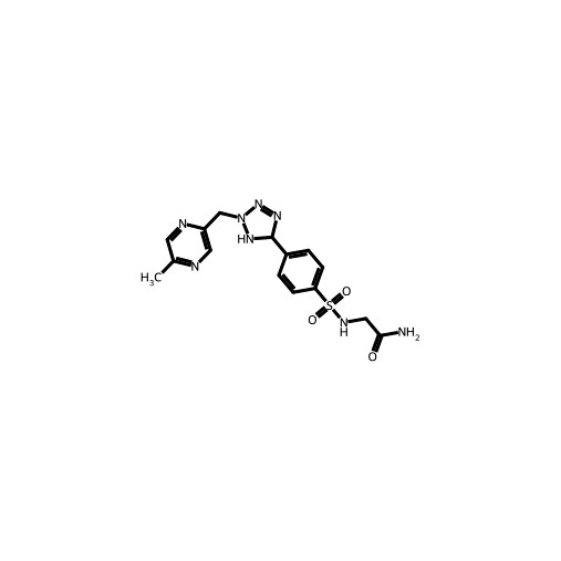 Cc1cnc(CN2N=NC(c3ccc(S(=O)(=O)NCC(N)=O)cc3)N2)cn1